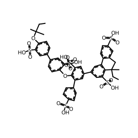 CCC(C)(C)Oc1ccc(-c2ccc(Oc3c(-c4ccc(S(=O)(=O)O)cc4)cc(-c4cc5c(c(S(=O)(=O)O)c4)C(C)(CC)Cc4cc(S(=O)(=O)O)ccc4-5)cc3S(=O)(=O)O)c(S(=O)(=O)O)c2)cc1S(=O)(=O)O